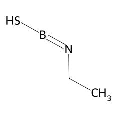 CCN=BS